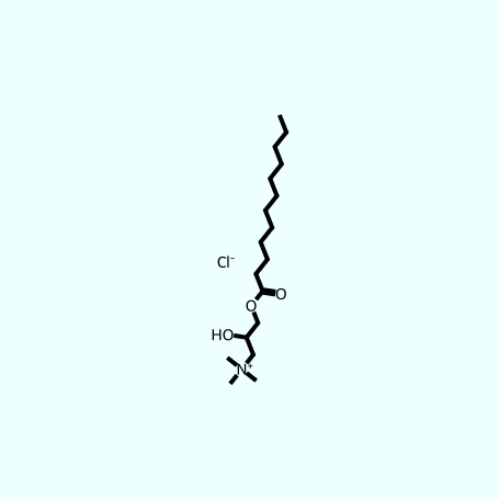 CCCCCCCCCCCC(=O)OCC(O)C[N+](C)(C)C.[Cl-]